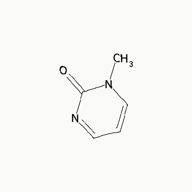 Cn1cccnc1=O